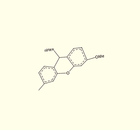 CCCCCCC1c2ccc(C)cc2Oc2cc(OC)ccc21